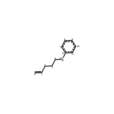 C=CCCCSc1ccccc1